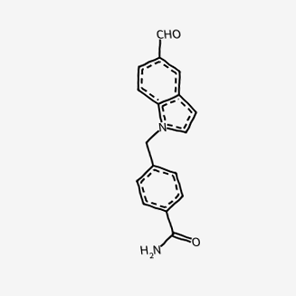 NC(=O)c1ccc(Cn2ccc3cc(C=O)ccc32)cc1